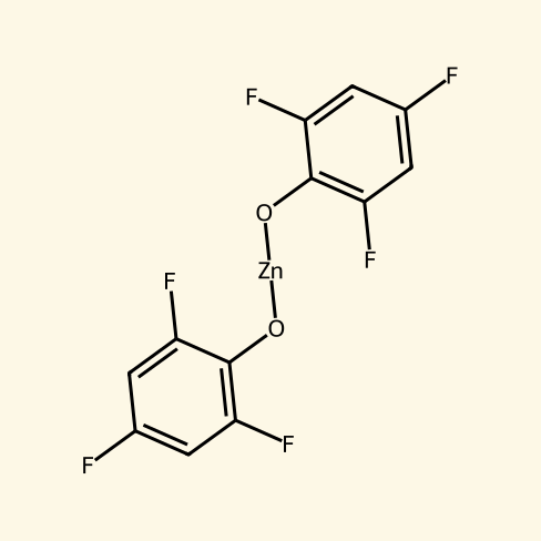 Fc1cc(F)c([O][Zn][O]c2c(F)cc(F)cc2F)c(F)c1